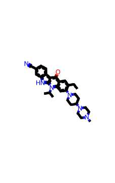 CCc1cc2c(=O)c3c4ccc(C#N)cc4[nH]c3n(C(C)C)c2cc1N1CCC(N2CCN(C)CC2)CC1